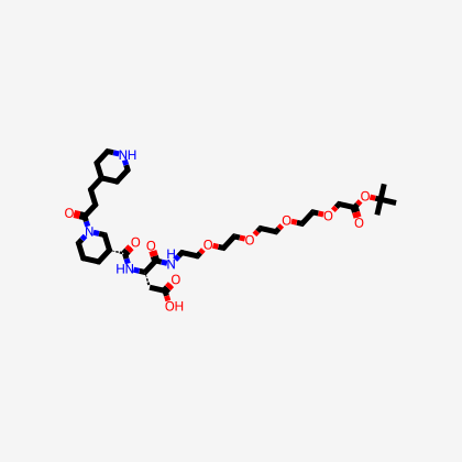 CC(C)(C)OC(=O)COCCOCCOCCOCCNC(=O)[C@H](CC(=O)O)NC(=O)[C@@H]1CCCN(C(=O)CCC2CCNCC2)C1